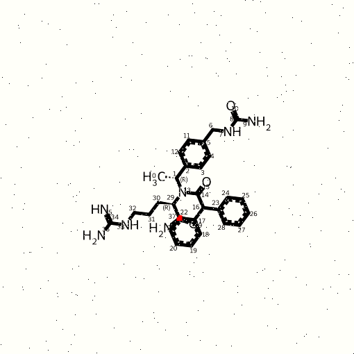 C[C@H](c1ccc(CNC(N)=O)cc1)N(C(=O)C(c1ccccc1)c1ccccc1)[C@H](CCCNC(=N)N)C(N)=O